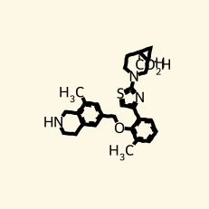 Cc1cc(COc2c(C)cccc2-c2csc(N3CC[C@@]4(C(=O)O)C[C@H]4C3)n2)cc2c1CNCC2